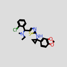 CCN(C)C(c1cnc(NC2(c3ccc4c(c3)OCO4)CC2)s1)c1ccccc1Cl